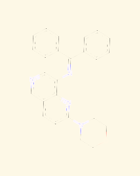 c1ccc(C(=Nc2cncc3ccc(N4CCOCC4)nc23)c2ccccc2)cc1